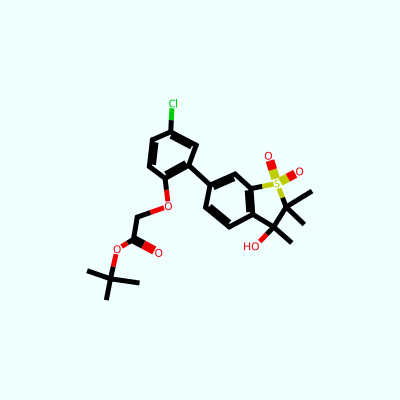 CC(C)(C)OC(=O)COc1ccc(Cl)cc1-c1ccc2c(c1)S(=O)(=O)C(C)(C)C2(C)O